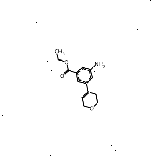 CCOC(=O)c1cc(N)cc(C2=CCOCC2)c1